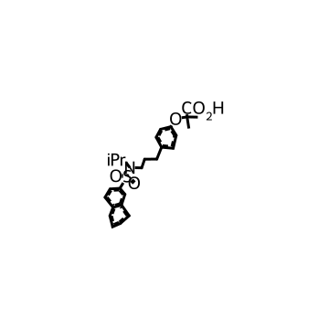 CC(C)N(CCCc1ccc(OC(C)(C)C(=O)O)cc1)S(=O)(=O)c1ccc2ccccc2c1